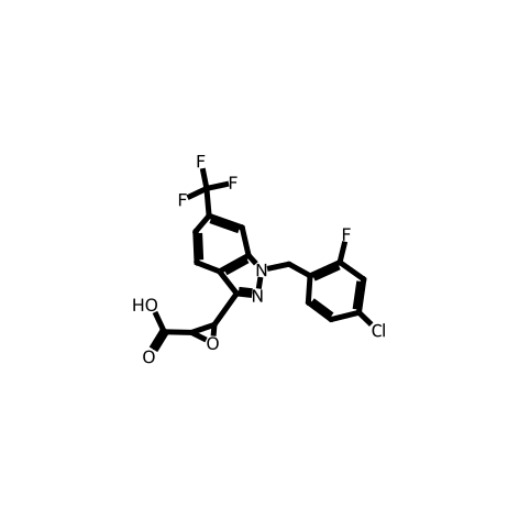 O=C(O)C1OC1c1nn(Cc2ccc(Cl)cc2F)c2cc(C(F)(F)F)ccc12